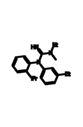 CCc1cccc(N(C(=N)N(C)CC)c2ccccc2C(C)C)c1